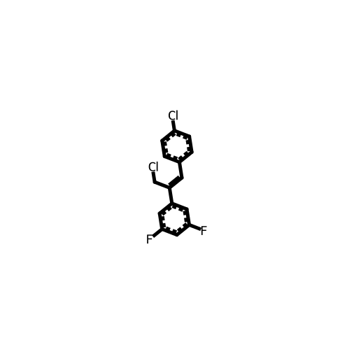 Fc1cc(F)cc(C(=Cc2ccc(Cl)cc2)CCl)c1